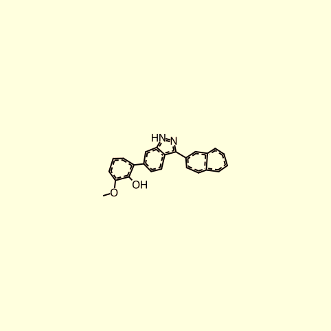 COc1cccc(-c2ccc3c(-c4ccc5ccccc5c4)n[nH]c3c2)c1O